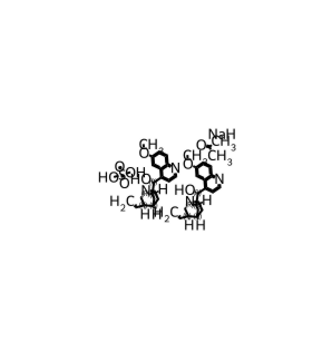 C=C[C@H]1C[N@]2CC[C@H]1C[C@H]2[C@H](O)c1ccnc2ccc(OC)cc12.C=C[C@H]1C[N@]2CC[C@H]1C[C@H]2[C@H](O)c1ccnc2ccc(OC)cc12.CC(C)=O.O=S(=O)(O)O.[NaH]